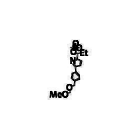 CCC(OS(C)(=O)=O)c1ccc(-c2ccc(COCOC)cc2)cn1